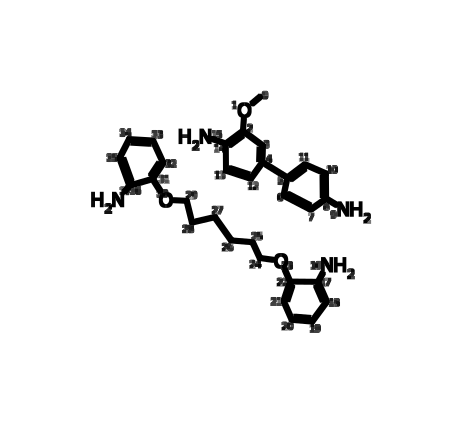 COc1cc(-c2ccc(N)cc2)ccc1N.Nc1ccccc1OCCCCCCOc1ccccc1N